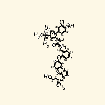 CN(CCO)CN1C=CN2c3cc(Oc4ccccc4CNC(=O)Nc4cc(C(C)(C)C)nn4-c4ccc(O)c(Cl)c4)ccc3SC12